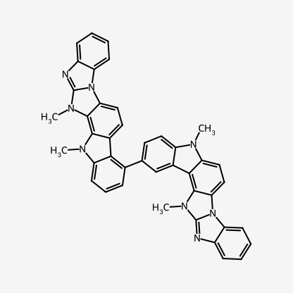 Cn1c2ccc(-c3cccc4c3c3ccc5c(c3n4C)n(C)c3nc4ccccc4n53)cc2c2c1ccc1c2n(C)c2nc3ccccc3n12